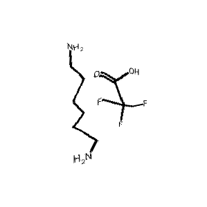 NCCCCCCN.O=C(O)C(F)(F)F